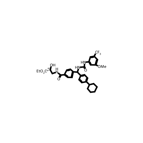 CCOC(=O)[C@H](O)CNC(=O)c1ccc(C(NC(=O)Nc2cc(OC)cc(C(F)(F)F)c2)c2ccc(C3CCCCC3)cc2)cc1